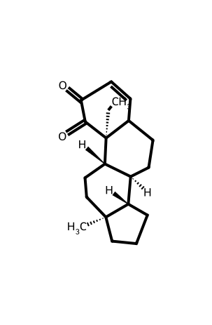 CC[C@]12C(=O)C(=O)C=CC1CC[C@H]1[C@@H]3CCC[C@@]3(C)CC[C@@H]12